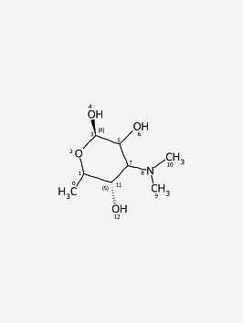 CC1O[C@@H](O)C(O)C(N(C)C)[C@@H]1O